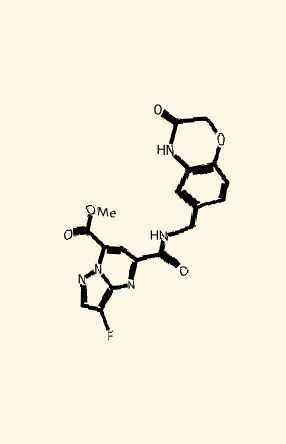 COC(=O)c1cc(C(=O)NCc2ccc3c(c2)NC(=O)CO3)nc2c(F)cnn12